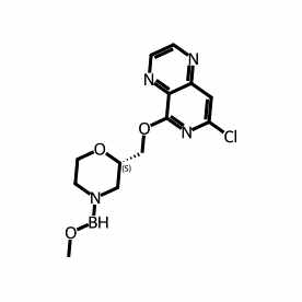 COBN1CCO[C@H](COc2nc(Cl)cc3nccnc23)C1